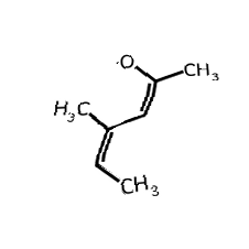 CC=C(C)C=C(C)[O]